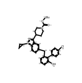 CC(C)(C)OC(=O)N1CCC(c2nn(C3CC3)c3ccc(Cc4cccc(O)c4-c4ccc(Cl)cc4)cc23)CC1